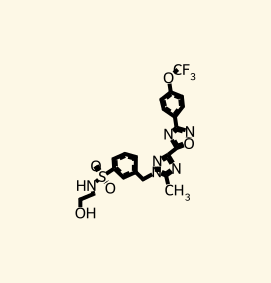 Cc1nc(-c2nc(-c3ccc(OC(F)(F)F)cc3)no2)nn1Cc1cccc(S(=O)(=O)NCCO)c1